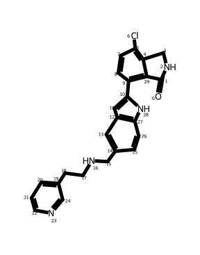 O=C1NCc2c(Cl)ccc(-c3cc4cc(CNCCc5cccnc5)ccc4[nH]3)c21